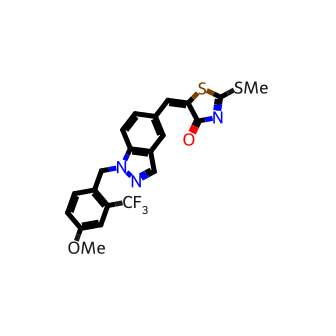 COc1ccc(Cn2ncc3cc(C=C4SC(SC)=NC4=O)ccc32)c(C(F)(F)F)c1